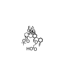 CC(C)(C)OC(=O)N1CCC[C@H](NS(=O)(=O)C2(F)CC2)C1Cc1cccc(-c2cccc(F)c2OCCC(=O)O)c1F